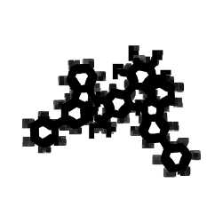 Fc1c(F)c(F)c(-c2cc(-n3c4ccccc4c4cc(-c5ccccc5)ccc43)c(C(F)(F)F)cc2-n2c3ccccc3c3cc(-c4ccccc4)ccc32)c(F)c1F